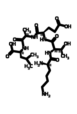 CC(C)C[C@H](NC(=O)[C@@H](C)NC(=O)[C@@H](CCC(=O)O)NC(=O)[C@H](NC(=O)[C@H](N)CCCCN)[C@H](C)O)C(=O)O